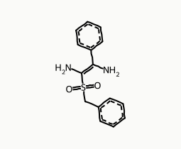 NC(=C(N)S(=O)(=O)Cc1ccccc1)c1ccccc1